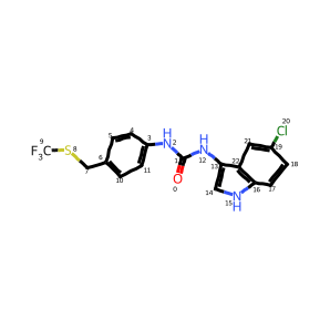 O=C(Nc1ccc(CSC(F)(F)F)cc1)Nc1c[nH]c2ccc(Cl)cc12